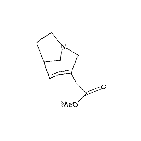 COC(=O)C1=CC2CCN(C1)C2